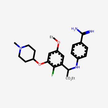 CCOC(=O)C(Nc1ccc(C(=N)N)cc1)c1cc(OCC)cc(OC2CCN(C)CC2)c1F